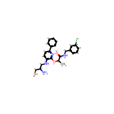 CC(Oc1nc(-c2ccccc2)ccc1NCC(N)CS)C(=O)NCc1cccc(F)c1